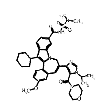 COc1ccc2c(c1)C=C(c1ncn(C(C)C)c1C(=O)N1CCOCC1)Cn1c-2c(C2CCCCC2)c2ccc(C(=O)NS(=O)(=O)N(C)C)cc21